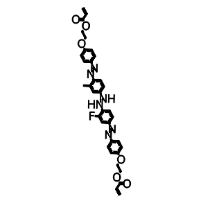 C=CC(=O)OCCOc1ccc(/N=N/c2ccc(NNc3ccc(/N=N/c4ccc(OCCOC(=O)C=C)cc4)c(C)c3)c(F)c2)cc1